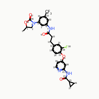 CC1CN(c2cc(NC(=O)CCc3ccc(Oc4ccnc(NC(=O)C5CC5)c4)c(F)c3)cc(C(F)(F)F)c2)C(=O)O1